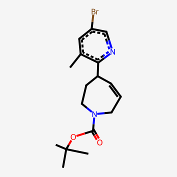 Cc1cc(Br)cnc1C1C=CCN(C(=O)OC(C)(C)C)CC1